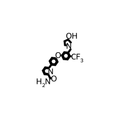 NC(=O)c1cccc(-c2ccc(Oc3ccc(C(F)(F)F)c(CN4CCC(O)C4)c3)cc2)n1